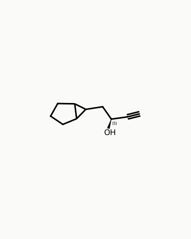 C#C[C@@H](O)CC1C2CCCC21